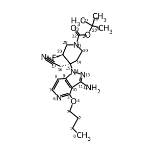 CCCCOc1nccc2c1c(N)nn2[C@]1(CC#N)CCN(C(=O)OC(C)(C)C)C[C@@H]1F